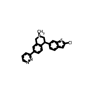 CN1Cc2cc(-c3cccnn3)ccc2C(c2ccc3cc(Cl)sc3c2)C1